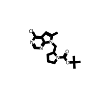 Cc1cc2c(Cl)ncnc2n1CC1CCCN1C(=O)OC(C)(C)C